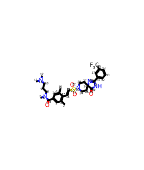 Cc1cc(C(=O)N(C)CCCN(C)C)cc(C)c1C=CS(=O)(=O)N1CCC2(CC1)N=C(c1cccc(C(F)(F)F)c1)NC2=O